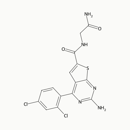 NC(=O)CNC(=O)c1cc2c(-c3ccc(Cl)cc3Cl)nc(N)nc2s1